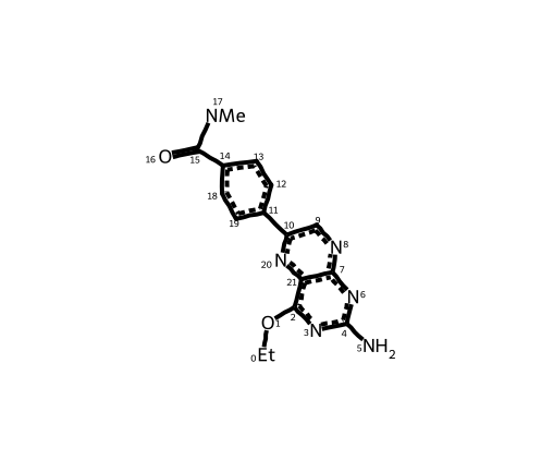 CCOc1nc(N)nc2ncc(-c3ccc(C(=O)NC)cc3)nc12